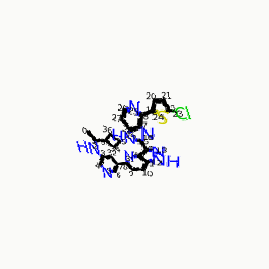 C=C(Nc1cncc(-c2ccc3[nH]nc(-c4nc5c(-c6ccc(Cl)s6)nccc5[nH]4)c3n2)c1)C1CCC1